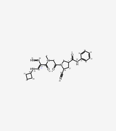 CN(CC(=O)N1CC(C(=O)Nc2ccccc2)CC1C#N)C(=O)/C(=C/NC1CCC1)N=N